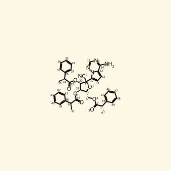 C[C@H](C(=O)OC[C@H]1O[C@@](C#N)(c2ccc3c(N)ncnn23)[C@H](OC(=O)[C@@H](C)c2ccccc2)[C@@H]1OC(=O)[C@@H](C)c1ccccc1)c1ccccc1